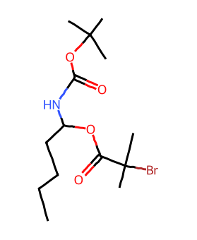 CCCCC(NC(=O)OC(C)(C)C)OC(=O)C(C)(C)Br